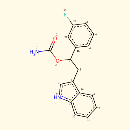 NC(=O)OC(Cc1c[nH]c2ccccc12)c1cccc(F)c1